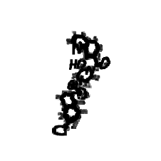 O=C(c1ccc2cccnc2c1O)N1CCN(S(=O)(=O)c2ccc3cc(Cl)ccc3c2)CC1